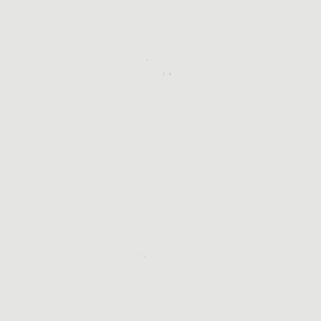 CC(=O)Oc1ccc(C#Cc2cc(C3CC3)c3c(c2)C(C)(C)CC(C)(C)O3)cc1